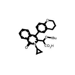 CC(C)(C)OC(C(=O)O)c1c(-c2ccc3c(c2)CCCO3)c2ccccc2c(=O)n1C1CC1